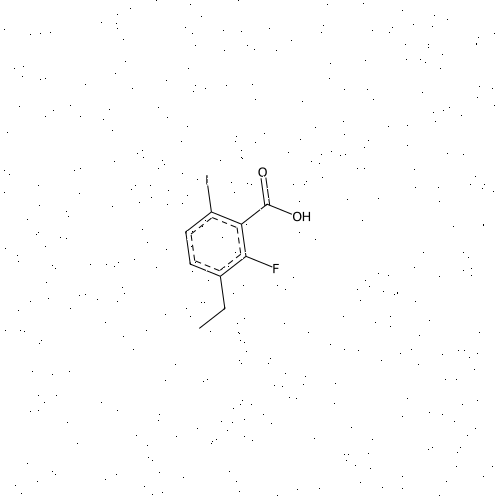 CCc1ccc(I)c(C(=O)O)c1F